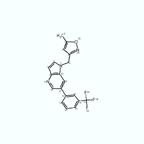 Cc1cc(Cn2ccc3ncc(-c4cccc(C(F)(F)F)c4)cc32)no1